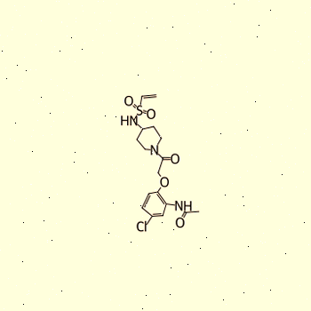 C=CS(=O)(=O)NC1CCN(C(=O)COc2ccc(Cl)cc2NC(C)=O)CC1